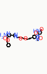 Cn1c(=O)n(C2CCC(=O)NC2=O)c2ccc(C#CCOCCOCCn3cc(-c4cnc(N)c(C(=O)OCc5ccccc5)c4)cn3)cc21